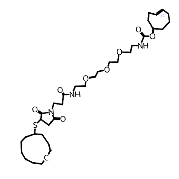 O=C(CCN1C(=O)CC(SC2CCCCCCCCCC2)C1=O)NCCOCCOCCOCCNC(=O)OC1CC/C=C/CCC1